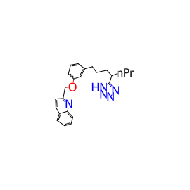 CCCC(CCCc1cccc(OCc2ccc3ccccc3n2)c1)c1nnn[nH]1